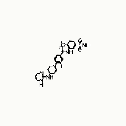 COc1ccc(S([NH])(=O)=O)cc1NC(=O)c1ccc(N2CCC(NC3=NCCCN3)CC2)c(F)c1